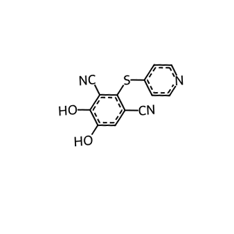 N#Cc1cc(O)c(O)c(C#N)c1Sc1ccncc1